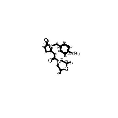 CC1CN(C(=O)CC2CCC(=O)N2Cc2ccc(C(C)(C)C)cc2)CC(C)O1